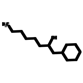 CCCCCCC(O)CC1CCCCC1